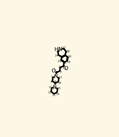 O=C(CCC(=O)N1CCC(N2CCCCC2)CC1)c1ccc2c(c1)CCNCC2